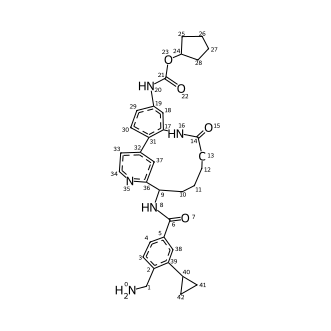 NCc1ccc(C(=O)NC2CCCCC(=O)Nc3cc(NC(=O)OC4CCCC4)ccc3-c3ccnc2c3)cc1C1CC1